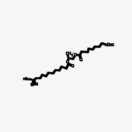 [CH2]C(COC(=O)CCCCCCCCCCCCCCCCC)OC(=O)CCCCCCCCCCC1(CCCC)N=N1